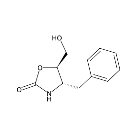 O=C1N[C@@H](Cc2ccccc2)[C@H](CO)O1